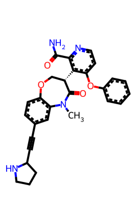 CN1C(=O)[C@@H](c2c(Oc3ccccc3)ccnc2C(N)=O)COc2ccc(C#CC3CCCN3)cc21